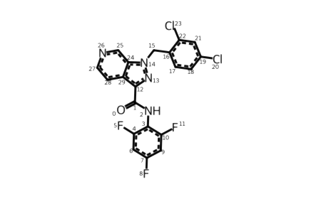 O=C(Nc1c(F)cc(F)cc1F)c1nn(Cc2ccc(Cl)cc2Cl)c2cnccc12